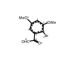 COc1cc(OC)c(Br)c(C(=O)C=O)c1